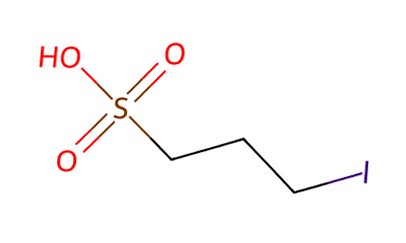 O=S(=O)(O)CCCI